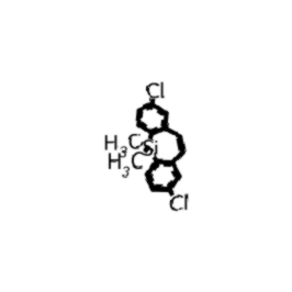 C[Si]1(C)c2ccc(Cl)cc2C=Cc2cc(Cl)ccc21